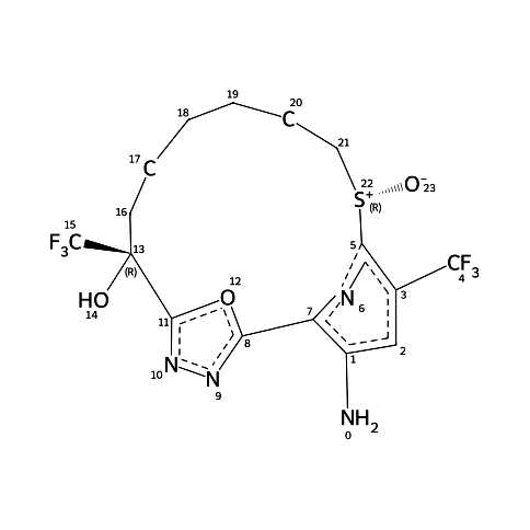 Nc1cc(C(F)(F)F)c2nc1-c1nnc(o1)[C@@](O)(C(F)(F)F)CCCCCC[S@+]2[O-]